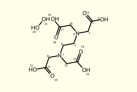 O=C(O)CN(CCN(CC(=O)O)CC(=O)O)CC(=O)O.OO